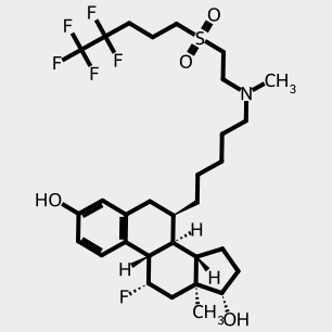 CN(CCCCC[C@@H]1Cc2cc(O)ccc2[C@@H]2[C@@H]1[C@@H]1CC[C@H](O)[C@@]1(C)C[C@@H]2F)CCS(=O)(=O)CCCC(F)(F)C(F)(F)F